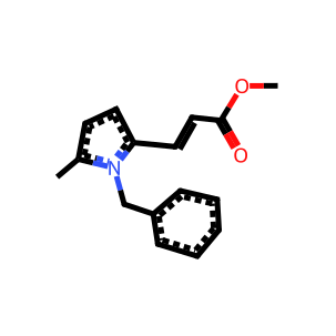 COC(=O)C=Cc1ccc(C)n1Cc1ccccc1